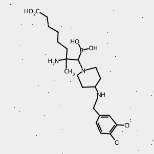 CC(N)(CCCCCC(=O)O)C(B(O)O)N1CCC(NCc2ccc(Cl)c(Cl)c2)CC1